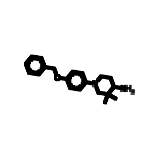 CC1(C)CN(c2ccc(OCc3ccccc3)cc2)CCC1N